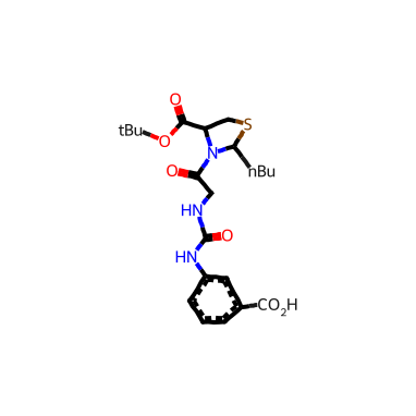 CCCCC1SCC(C(=O)OC(C)(C)C)N1C(=O)CNC(=O)Nc1cccc(C(=O)O)c1